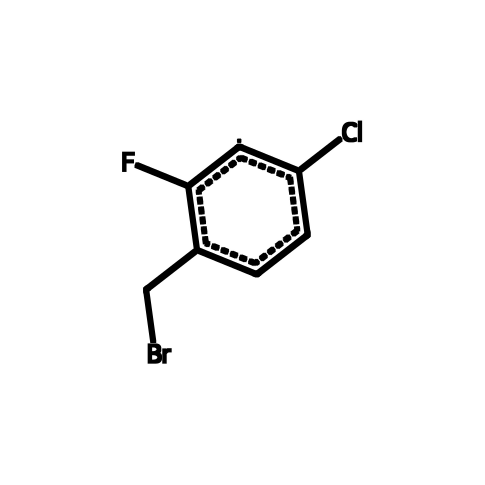 Fc1[c]c(Cl)ccc1CBr